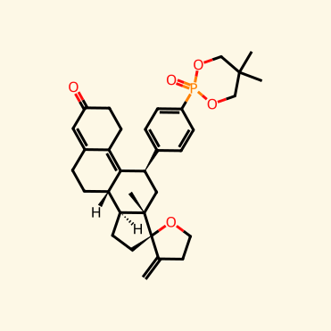 C=C1CCO[C@]12CC[C@H]1[C@@H]3CCC4=CC(=O)CCC4=C3[C@@H](c3ccc(P4(=O)OCC(C)(C)CO4)cc3)C[C@@]12C